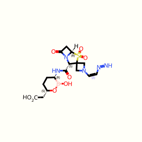 N=N/C=C\N1CC2(C1)[C@H](C(=O)N[C@H]1CC[C@@H](CC(=O)O)OB1O)N1C(=O)C[C@H]1S2(=O)=O